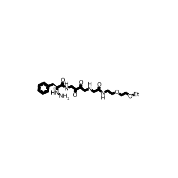 CCOCCOCCNC(=O)CNCC(=O)C(=O)CNC(=O)[C@H](Cc1ccccc1)NN